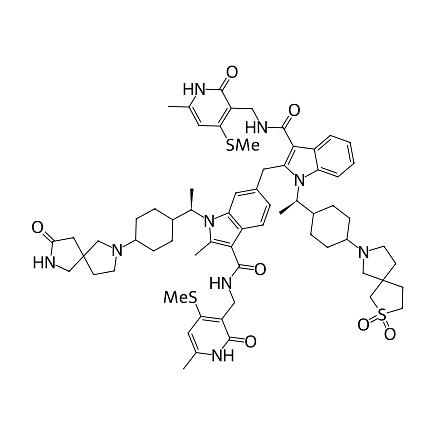 CSc1cc(C)[nH]c(=O)c1CNC(=O)c1c(C)n([C@H](C)C2CCC(N3CCC4(CNC(=O)C4)C3)CC2)c2cc(Cc3c(C(=O)NCc4c(SC)cc(C)[nH]c4=O)c4ccccc4n3[C@H](C)C3CCC(N4CCC5(CCS(=O)(=O)C5)C4)CC3)ccc12